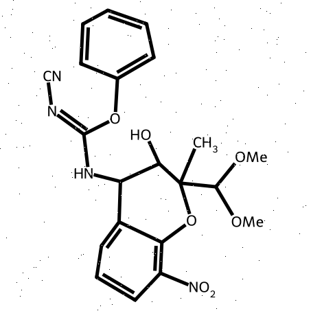 COC(OC)C1(C)Oc2c(cccc2[N+](=O)[O-])C(NC(=NC#N)Oc2ccccc2)C1O